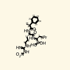 CC(C)C[C@H](NC(=O)[C@H](CCCNC(=N)N[N+](=O)[O-])NC(=O)[C@@H](C)c1ccccc1)B(O)O